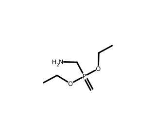 C=P(CN)(OCC)OCC